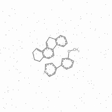 C1=c2c(ccc3c2=CCc2ccccc2-3)CCC1.COc1cccc(-c2ccncc2)c1